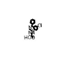 O=C(O)c1nc2n(n1)-c1ccc(Cl)cc1C(c1ccccc1)=NC2